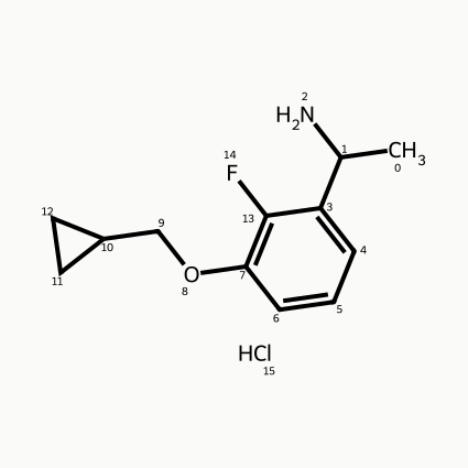 CC(N)c1cccc(OCC2CC2)c1F.Cl